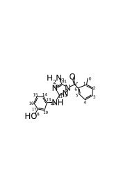 Cc1ccccc1C(=O)n1nc(Nc2cccc(O)c2)nc1N